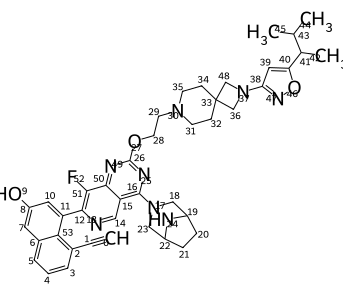 C#Cc1cccc2cc(O)cc(-c3ncc4c(N5CC6CCC(C5)N6)nc(OCCN5CCC6(CC5)CN(c5cc(C(C)C(C)C)on5)C6)nc4c3F)c12